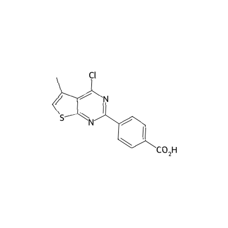 Cc1csc2nc(-c3ccc(C(=O)O)cc3)nc(Cl)c12